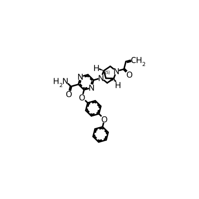 C=CC(=O)N1C[C@@H]2C[C@H]1CN2c1cnc(C(N)=O)c(Oc2ccc(Oc3ccccc3)cc2)n1